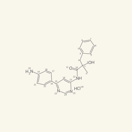 CC(O)(Cc1ccccc1)C(=O)Nc1cc(-c2ccc(N)cc2)ncn1.Cl